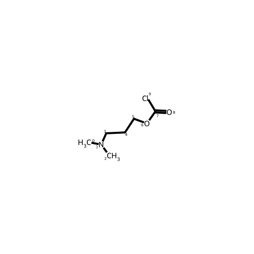 CN(C)CCCOC(=O)Cl